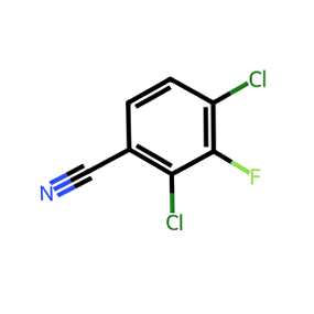 N#Cc1ccc(Cl)c(F)c1Cl